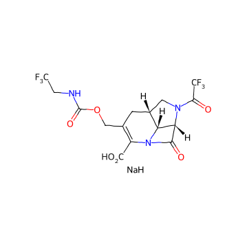 O=C(NCC(F)(F)F)OCC1=C(C(=O)O)N2C(=O)[C@@H]3[C@H]2[C@H](C1)CN3C(=O)C(F)(F)F.[NaH]